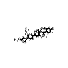 COc1nc(-c2cc(C)c(N(C)C(C)c3ccc(F)cc3)nn2)ccc1-n1cnc(C)c1